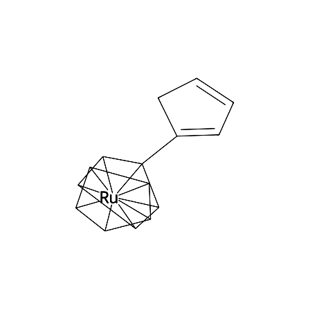 C1=CCC([C]23[CH]4[CH]5[CH]6[CH]2[Ru]56432789[CH]3[CH]2[CH]7[CH]8[CH]39)=C1